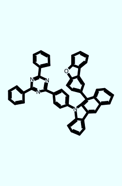 c1ccc(-c2nc(-c3ccccc3)nc(-c3ccc(-n4c5ccccc5c5cc6ccccc6c(-c6ccc7oc8ccccc8c7c6)c54)cc3)n2)cc1